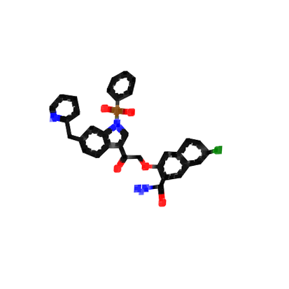 NC(=O)c1cc2cc(Cl)ccc2cc1OCC(=O)c1cn(S(=O)(=O)c2ccccc2)c2cc(Cc3ccccn3)ccc12